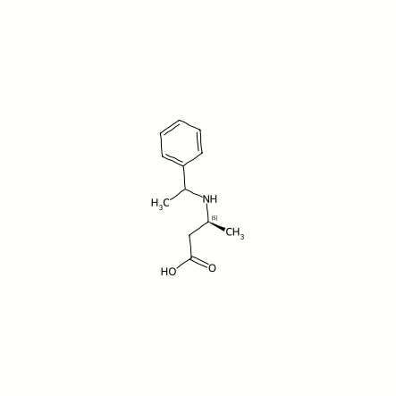 CC(N[C@@H](C)CC(=O)O)c1ccccc1